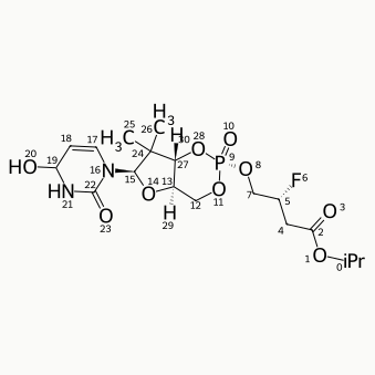 CC(C)OC(=O)C[C@@H](F)CO[P@]1(=O)OC[C@H]2O[C@@H](N3C=CC(O)NC3=O)C(C)(C)[C@@H]2O1